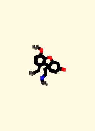 C=NCCC12C=CC(=O)CC1Oc1c(OC)ccc(CC)c12